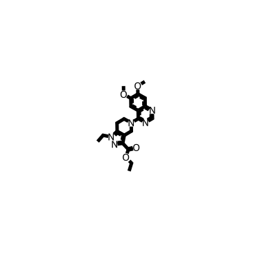 CCOC(=O)c1nn(CC)c2c1CN(c1ncnc3cc(OC)c(OC)cc13)CC2